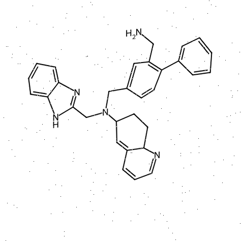 NCc1cc(CN(Cc2nc3ccccc3[nH]2)C2C=C3C=CC=NC3CC2)ccc1-c1ccccc1